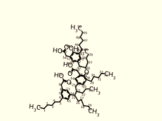 CCCCCCc1cc(CC(=O)O)cc(C(CCCCC)C(CCC)Cc2cc(CCCCC)c(OC(CCCC)Cc3cc(CCCCCC)c(O)c(CC(=O)O)c3)c(CC(=O)O)c2)c1